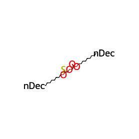 CCCCCCCCCCCCCCCCCCOC(=O)COCC(=S)OCCCCCCCCCCCCCCCCCC